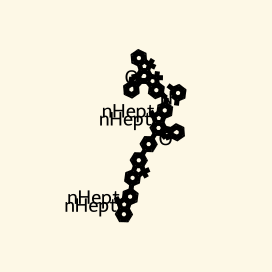 CCCCCCCC1(CCCCCCC)c2ccccc2-c2ccc(-c3ccc4c(c3)C(C)(C)c3cc(-c5ccc(-c6cc7c(c8c6oc6ccccc68)-c6ccc(N(c8ccc9c(c8)C(C)(C)c8c%10c(c%11oc%12ccccc%12c%11c8-9)-c8ccccc8C%10(C)C)c8c(C)cccc8C)cc6C7(CCCCCCC)CCCCCCC)cc5)ccc3-4)cc21